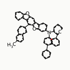 Cc1ccc2cc(-c3c4oc5cc(N(c6ccc(-c7ccccc7)cc6)c6ccccc6-c6ccccc6)ccc5c4cc4oc5ccccc5c34)ccc2c1